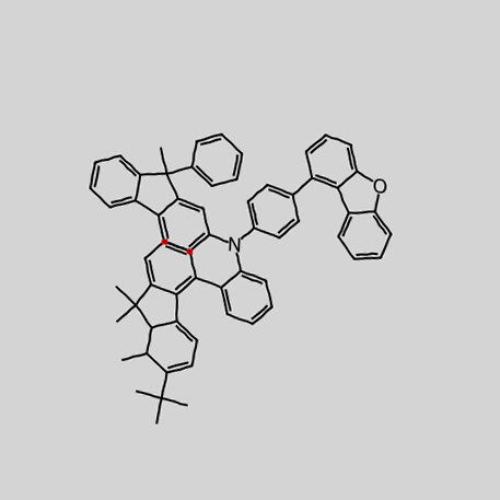 CC1C(C(C)(C)C)=CC=C2c3c(-c4ccccc4N(c4ccc(-c5cccc6oc7ccccc7c56)cc4)c4ccc5c(c4)C(C)(c4ccccc4)c4ccccc4-5)cccc3C(C)(C)C21